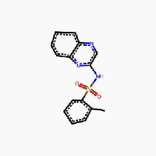 Cc1ccccc1S(=O)(=O)Nc1cnc2ccccc2n1